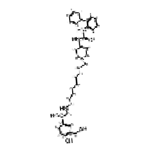 O=C(Nc1ccccc1-c1ccccc1)NC1CCN(CCCCCCCCCNCC(O)c2ccc(O)c(CO)c2)CC1